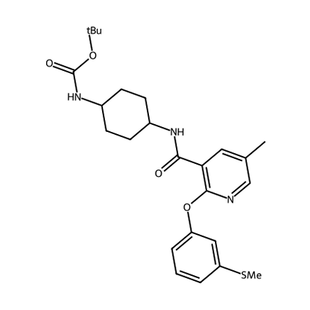 CSc1cccc(Oc2ncc(C)cc2C(=O)NC2CCC(NC(=O)OC(C)(C)C)CC2)c1